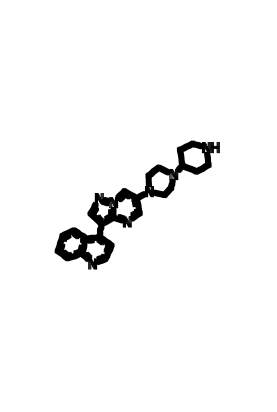 c1ccc2c(-c3cnn4cc(N5CCN(C6CCNCC6)CC5)cnc34)ccnc2c1